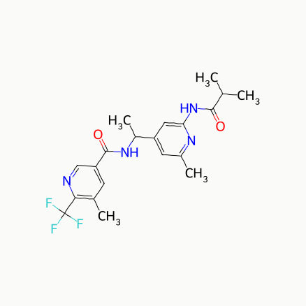 Cc1cc(C(C)NC(=O)c2cnc(C(F)(F)F)c(C)c2)cc(NC(=O)C(C)C)n1